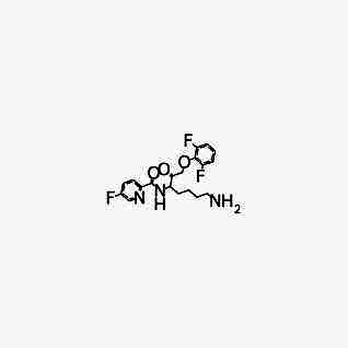 NCCCCC(NC(=O)c1ccc(F)cn1)C(=O)COc1c(F)cccc1F